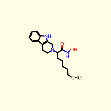 O=CCCCCCC(C(=O)NO)N1CCc2c([nH]c3ccccc23)C1